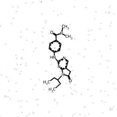 CCC(CC)N1C(=O)Cc2cnc(Nc3ccc(C(=O)N(C)C)cc3)nc21